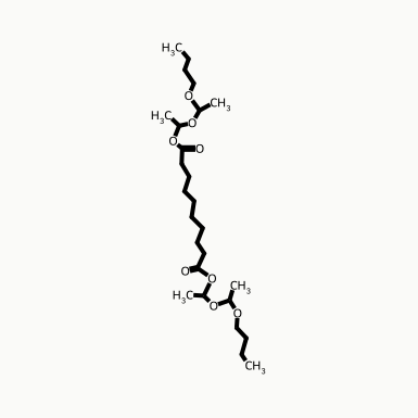 CCCCOC(C)OC(C)OC(=O)CCCCCCCCC(=O)OC(C)OC(C)OCCCC